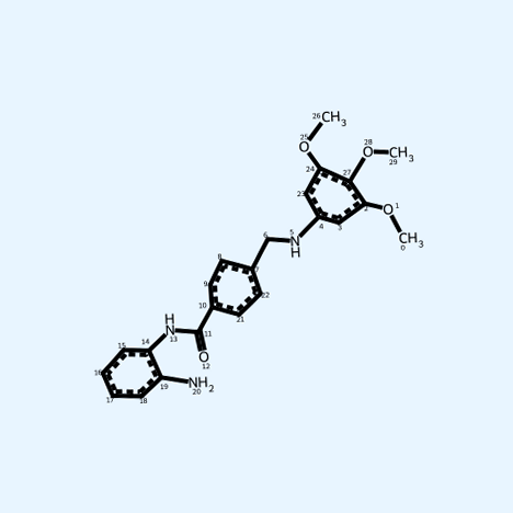 COc1cc(NCc2ccc(C(=O)Nc3ccccc3N)cc2)cc(OC)c1OC